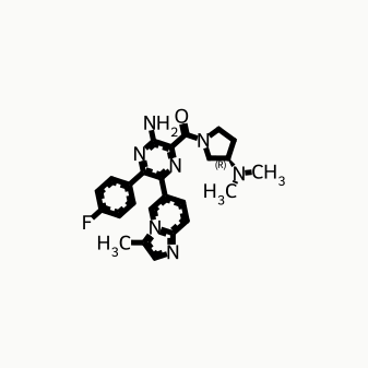 Cc1cnc2ccc(-c3nc(C(=O)N4CC[C@@H](N(C)C)C4)c(N)nc3-c3ccc(F)cc3)cn12